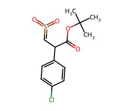 CC(C)(C)OC(=O)C(C=S(=O)=O)c1ccc(Cl)cc1